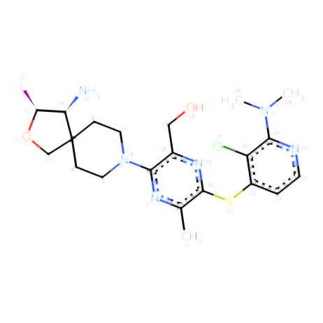 Cc1nc(N2CCC3(CC2)CO[C@@H](I)[C@H]3N)c(CO)nc1Sc1ccnc(N(C)C)c1Cl